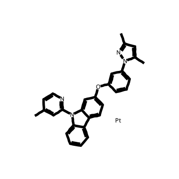 Cc1ccnc(-n2c3ccccc3c3ccc(Oc4cccc(-n5nc(C)cc5C)c4)cc32)c1.[Pt]